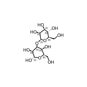 OC[C@H]1O[C@H](O)[C@@H](O)[C@@H](O[C@@H]2O[C@H](CO)[C@@H](O)[C@H](O)[C@@H]2O)[C@H]1O